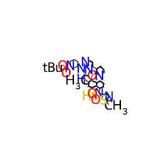 Cc1ncc(N(c2cccc3c(Oc4ncccc4-c4ccnc(N[C@H]5CCCN(C(=O)OC(C)(C)C)C5)n4)c(C)ccc23)[SH](=O)=O)s1